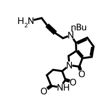 CCCCN(CC#CCN)c1cccc2c1CN(C1CCC(=O)NC1=O)C2=O